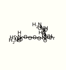 CC(C)CC(NC(=O)CNC(=O)CNC(=O)CN)C(=O)NCCOCCOCCOCCOCCC(=O)NC(CS)C(N)=O